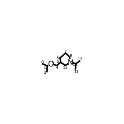 CC(C)OCC1CCCN(C(C)C)C1